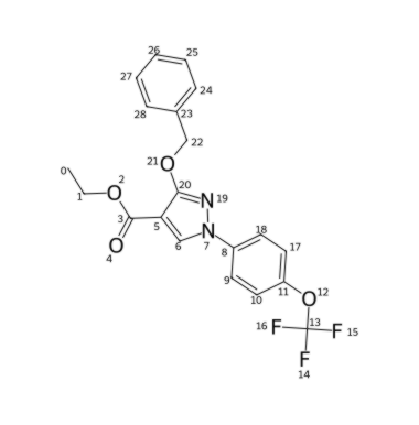 CCOC(=O)c1cn(-c2ccc(OC(F)(F)F)cc2)nc1OCc1ccccc1